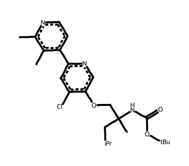 Cc1nccc(-c2cc(Cl)c(OCC(C)(CC(C)C)NC(=O)OC(C)(C)C)cn2)c1C